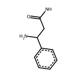 [NH]C(=O)CC(N)c1ccccc1